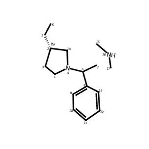 CC[C@H]1CCN(C(C)c2ccccc2)C1.CNC